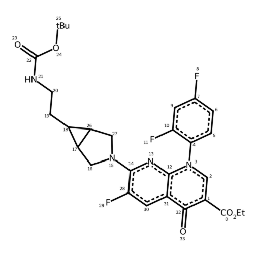 CCOC(=O)c1cn(-c2ccc(F)cc2F)c2nc(N3CC4C(CCNC(=O)OC(C)(C)C)C4C3)c(F)cc2c1=O